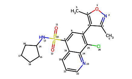 Cc1noc(C)c1-c1cc(S(=O)(=O)NC2CCCC2)c2cccnc2c1Cl